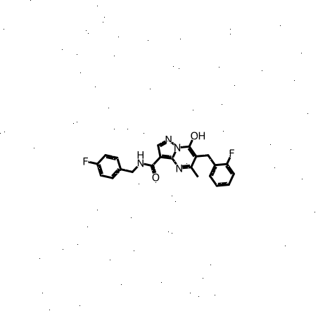 Cc1nc2c(C(=O)NCc3ccc(F)cc3)cnn2c(O)c1Cc1ccccc1F